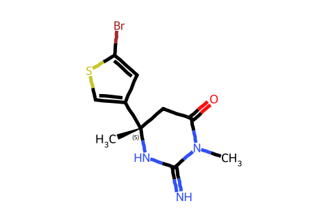 CN1C(=N)N[C@](C)(c2csc(Br)c2)CC1=O